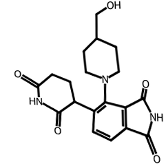 O=C1CCC(c2ccc3c(c2N2CCC(CO)CC2)C(=O)NC3=O)C(=O)N1